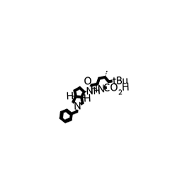 C[C@@H](CC(NC(=O)O)C(=O)N[C@H]1CC[C@@H]2CN(Cc3ccccc3)C[C@@H]21)CC(C)(C)C